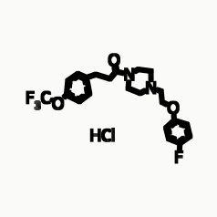 Cl.O=C(CCc1ccc(OC(F)(F)F)cc1)N1CCN(CCOc2ccc(F)cc2)CC1